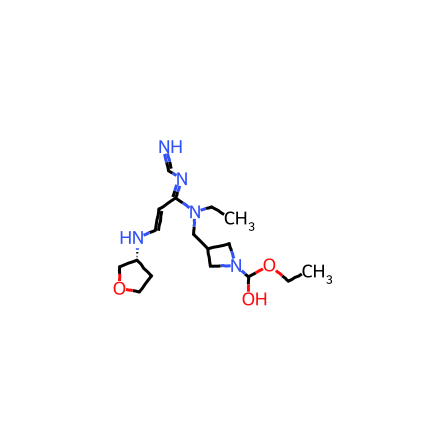 CCOC(O)N1CC(CN(CC)C(/C=C/N[C@@H]2CCOC2)=N/C=N)C1